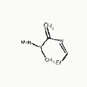 C=C(/N=C\CC)N(C)NC